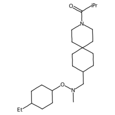 CCC1CCC(ON(C)CC2CCC3(CC2)CCN(C(=O)C(C)C)CC3)CC1